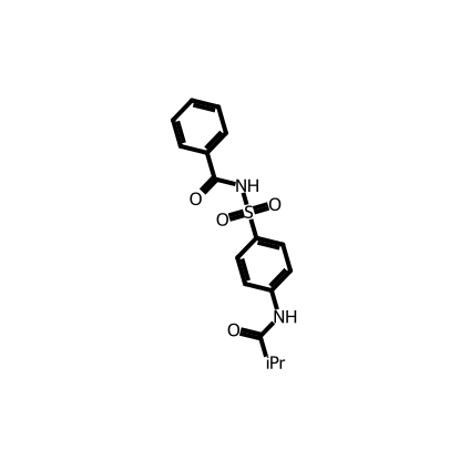 CC(C)C(=O)Nc1ccc(S(=O)(=O)NC(=O)c2ccccc2)cc1